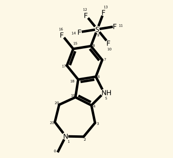 CN1CCc2[nH]c3cc(S(F)(F)(F)(F)F)c(F)cc3c2CC1